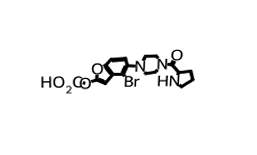 O=C(O)Oc1cc2c(Br)c(N3CCN(C(=O)C4CCCN4)CC3)ccc2o1